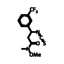 CON(C)C(=O)CC(N=C=S)c1cccc(C(F)(F)F)c1